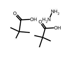 CC(C)(C)C(=O)O.CC(C)(C)C(=O)O.NN